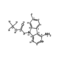 Cc1ccc2c3c(N)ncnc3n(CC(=O)OC(C)(C)C)c2c1